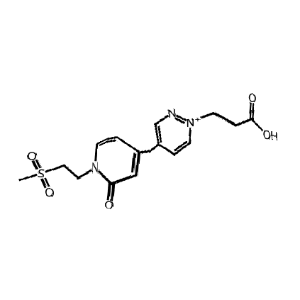 CS(=O)(=O)CCn1ccc(-c2cc[n+](CCC(=O)O)nc2)cc1=O